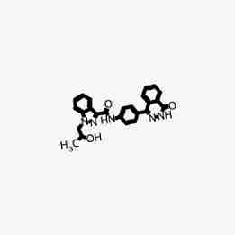 CC(O)Cn1nc(C(=O)Nc2ccc(-c3n[nH]c(=O)c4ccccc34)cc2)c2ccccc21